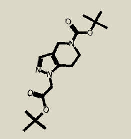 CC(C)(C)OC(=O)Cn1ncc2c1CCN(C(=O)OC(C)(C)C)C2